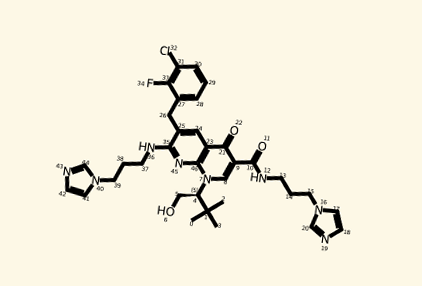 CC(C)(C)[C@@H](CO)n1cc(C(=O)NCCCn2ccnc2)c(=O)c2cc(Cc3cccc(Cl)c3F)c(NCCCn3ccnc3)nc21